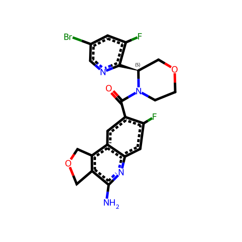 Nc1nc2cc(F)c(C(=O)N3CCOC[C@@H]3c3ncc(Br)cc3F)cc2c2c1COC2